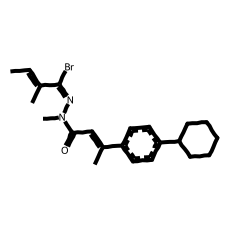 C/C=C(C)/C(Br)=N\N(C)C(=O)/C=C(\C)c1ccc(C2CCCCC2)cc1